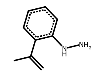 C=C(C)c1ccccc1NN